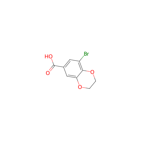 O=C(O)c1cc(Br)c2c(c1)OCCO2